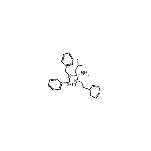 CC(C)C[C@@](N)([C@H](O)CCc1ccccc1)N(Cc1ccccc1)Cc1ccccc1